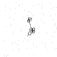 CCOCCCCCOS(=O)(=O)c1ccc(C)cc1